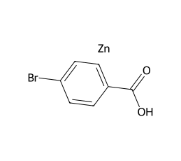 O=C(O)c1ccc(Br)cc1.[Zn]